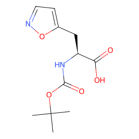 CC(C)(C)OC(=O)N[C@@H](Cc1ccno1)C(=O)O